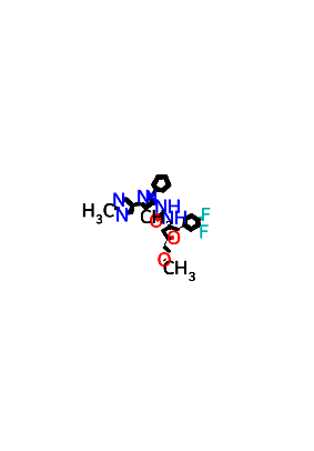 COCC[C@@H]1C[C@@H](NC(=O)Nc2c(C)c(-c3cnc(C)nc3)nn2-c2ccccc2)[C@H](c2ccc(F)c(F)c2)O1